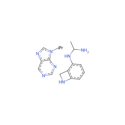 CC(C)n1cnc2cncnc21.CC(N)Nc1cccc2c1CN2